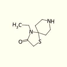 CCN1C(=O)CSC12CCNCC2